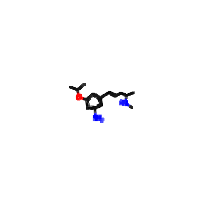 CNC(C)CC=Cc1cc(N)cc(OC(C)C)c1